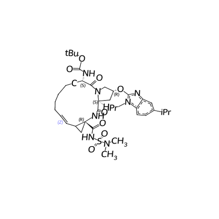 CC(C)c1ccc2c(c1)nc(O[C@@H]1C[C@H]3C(=O)N[C@]4(C(=O)NS(=O)(=O)N(C)C)CC4/C=C\CCCCC[C@H](NC(=O)OC(C)(C)C)C(=O)N3C1)n2C(C)C